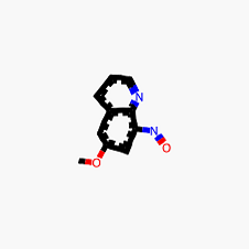 COc1cc(N=O)c2ncccc2c1